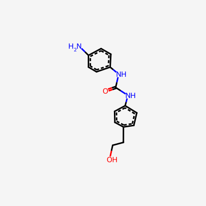 Nc1ccc(NC(=O)Nc2ccc(CCO)cc2)cc1